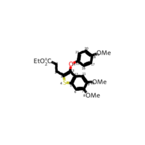 CCOC(=O)CCc1sc2cc(OC)c(OC)cc2c1Oc1ccc(OC)cc1